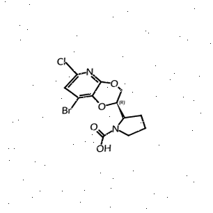 O=C(O)N1CCCC1[C@@H]1COc2nc(Cl)cc(Br)c2O1